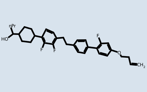 C=CCCOc1ccc(-c2ccc(CCc3ccc(C4CCC(C(O)CCC)CC4)c(F)c3F)cc2)c(F)c1